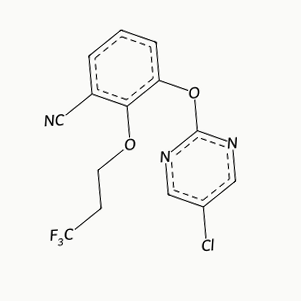 N#Cc1cccc(Oc2ncc(Cl)cn2)c1OCCC(F)(F)F